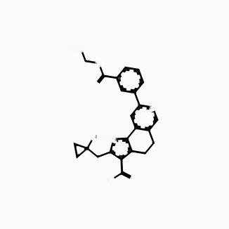 CCOC(=O)c1cccc(-c2cc3c(cn2)CCc2c-3[nH]c(CC3(N)CC3)c2C(=O)O)c1